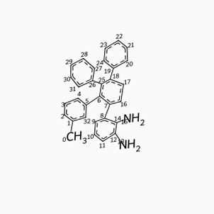 Cc1cccc(-c2c(-c3cccc(N)c3N)ccc(-c3ccccc3)c2-c2ccccc2)c1